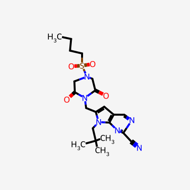 CCCCS(=O)(=O)N1CC(=O)N(Cc2cc3cnc(C#N)nc3n2CC(C)(C)C)C(=O)C1